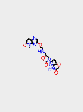 COC(CNCCOc1cnc2ccc(=O)n(C)c2n1)CN(C=O)c1ccc2c(n1)NC(=O)CO2